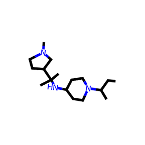 CCC(C)N1CCC(NC(C)(C)C2CCN(C)C2)CC1